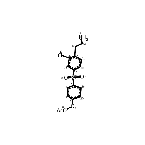 CC(=O)OOc1ccc(S(=O)(=O)c2ccc(CCN)c(Cl)c2)cc1